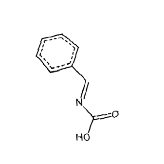 O=C(O)/N=C/c1ccccc1